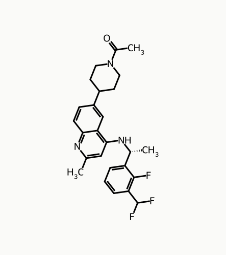 CC(=O)N1CCC(c2ccc3nc(C)cc(N[C@H](C)c4cccc(C(F)F)c4F)c3c2)CC1